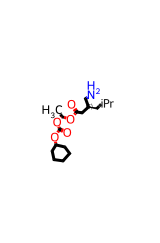 CC(C)C[C@H](CN)CC(=O)OC(C)OC(=O)OC1CCCCC1